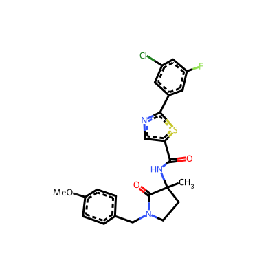 COc1ccc(CN2CCC(C)(NC(=O)c3cnc(-c4cc(F)cc(Cl)c4)s3)C2=O)cc1